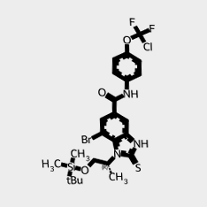 C[C@H](CO[Si](C)(C)C(C)(C)C)n1c(=S)[nH]c2cc(C(=O)Nc3ccc(OC(F)(F)Cl)cc3)cc(Br)c21